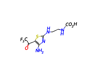 Nc1nc(NCCNC(=O)O)sc1C(=O)C(F)(F)F